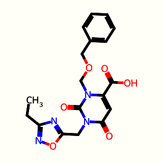 CCc1noc(Cn2c(=O)cc(C(=O)O)n(COCc3ccccc3)c2=O)n1